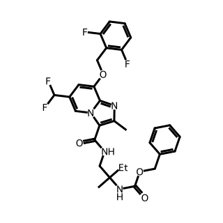 CCC(C)(CNC(=O)c1c(C)nc2c(OCc3c(F)cccc3F)cc(C(F)F)cn12)NC(=O)OCc1ccccc1